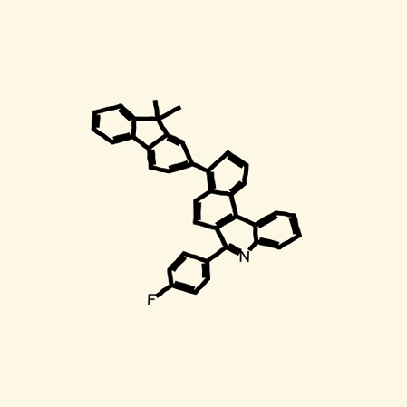 CC1(C)c2ccccc2-c2ccc(-c3cccc4c3ccc3c(-c5ccc(F)cc5)nc5ccccc5c34)cc21